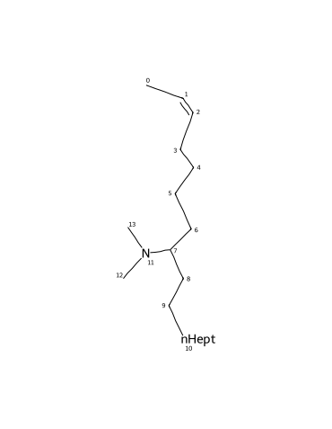 C/C=C\CCCCC(CCCCCCCCC)N(C)C